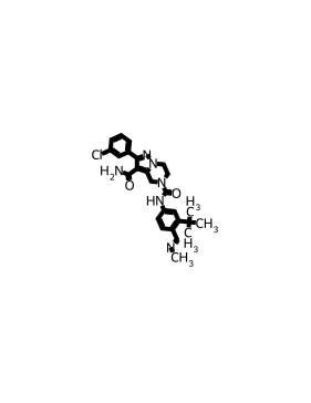 C/N=C/c1ccc(NC(=O)N2CCn3nc(-c4cccc(Cl)c4)c(C(N)=O)c3C2)cc1C(C)(C)C